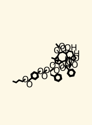 CCCCOC(=O)c1ccc(OC(=O)O[C@H](Cc2ccccc2)C(=O)O[C@H]2C[C@@]3(O)[C@@H](OC(=O)c4ccccc4)[C@@H]4[C@]5(OC(C)=O)CO[C@@H]5C[C@H](O)[C@@]4(C)C(=O)[C@H](OC(C)=O)C(=C2C)C3(C)C)cc1